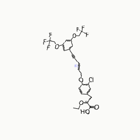 CCO[C@@H](Cc1ccc(OC/C=C/C#Cc2cc(OCC(F)(F)F)cc(OCC(F)(F)F)c2)c(Cl)c1)C(=O)O